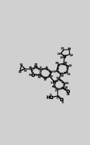 O=C(O)c1cn(-c2ccc3nc(C4CC4)oc3c2)c(-c2ccc(N3CCCC3)cc2)cc1=O